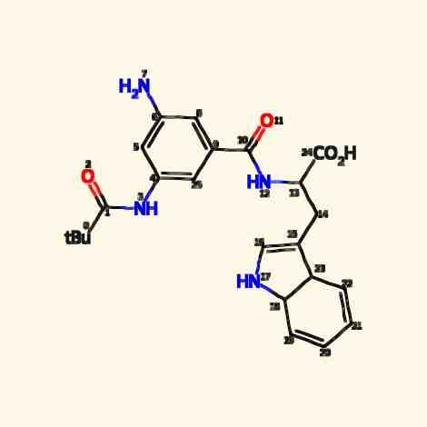 CC(C)(C)C(=O)Nc1cc(N)cc(C(=O)NC(CC2=CNC3C=CC=CC23)C(=O)O)c1